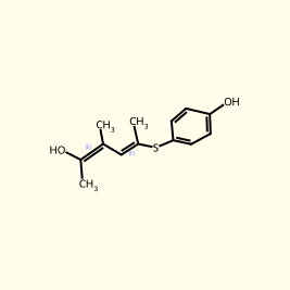 C/C(=C\C(C)=C(/C)O)Sc1ccc(O)cc1